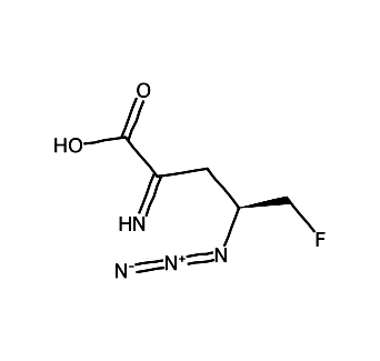 [N-]=[N+]=N[C@H](CF)CC(=N)C(=O)O